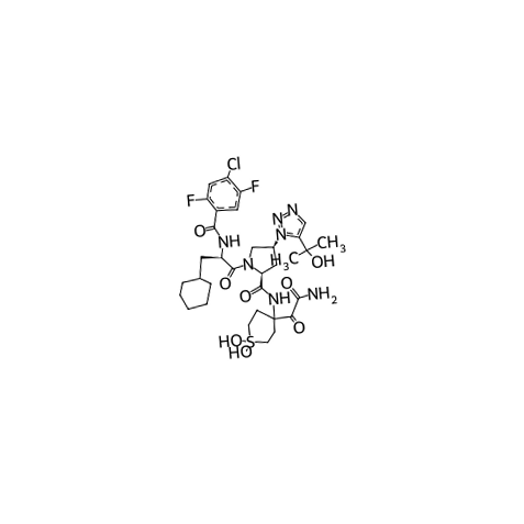 CC(C)(O)c1cnnn1[C@H]1C[C@@H](C(=O)NC2(C(=O)C(N)=O)CCS(O)(O)CC2)N(C(=O)[C@@H](CC2CCCCC2)NC(=O)c2cc(F)c(Cl)cc2F)C1